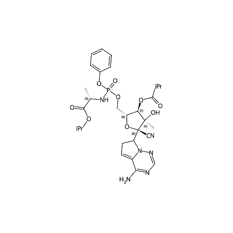 CC(C)OC(=O)[C@H](C)NP(=O)(OC[C@H]1O[C@@](C#N)(C2CC=C3C(N)=NC=NN32)[C@](C)(O)[C@@H]1OC(=O)C(C)C)Oc1ccccc1